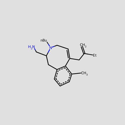 C=C(CC)CC1=CCN(CCCC)C(CN)Cc2cccc(C)c21